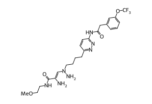 COCCNC(=O)/C(N)=C/N(N)CCCCc1ccc(NC(=O)Cc2cccc(OC(F)(F)F)c2)nn1